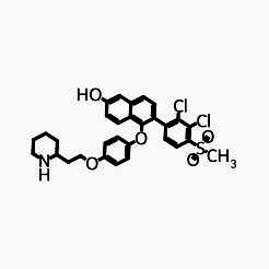 CS(=O)(=O)c1ccc(-c2ccc3cc(O)ccc3c2Oc2ccc(OCCC3CCCCN3)cc2)c(Cl)c1Cl